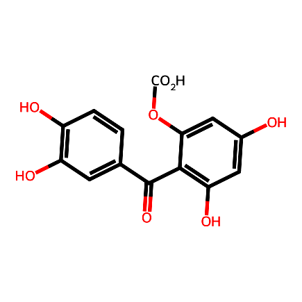 O=C(O)Oc1cc(O)cc(O)c1C(=O)c1ccc(O)c(O)c1